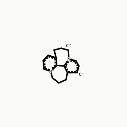 [Cl-].[Cl-].c1cc2c3[n+](c1)CCCc1ccc[n+](c1-3)CCC2